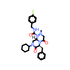 CN1CC(=O)N2[C@@H](Cc3ccccc3)C(=O)N(C3CCCCC3)C[C@@H]2N1C(=O)NCc1ccc(F)cc1